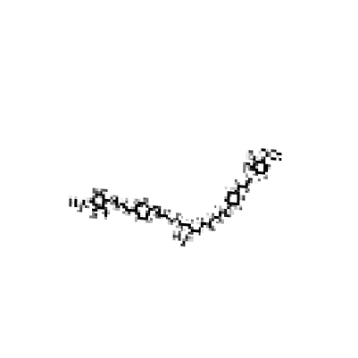 CCOc1ccc(OCCCc2ccc(OCCCCCCC(C)CCCCCCOc3ccc(CCCOc4ccc(C)c(F)c4F)cc3)cc2)c(F)c1F